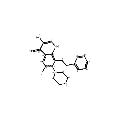 N#Cc1c[nH]c2c(CCc3ccccc3)c(N3CCOCC3)c(F)cc2c1=O